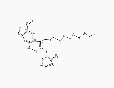 CCCCCCCCCCCC1=[N+](Cc2ccccc2Cl)CCc2cc(OC)c(OC)cc21